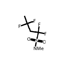 CNS(=O)(=O)C(F)(F)CC(C)(F)F